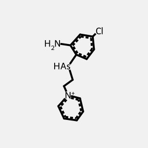 Nc1cc(Cl)ccc1[AsH]CC[n+]1ccccc1